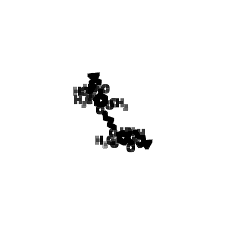 COc1cc2c(cc1OCCCCCOc1cc3c(cc1OC)C(=O)N1CC4(CC4)C[C@H]1C(O)N3C)NC[C@@H]1CC3(CC3)CN1C2=O